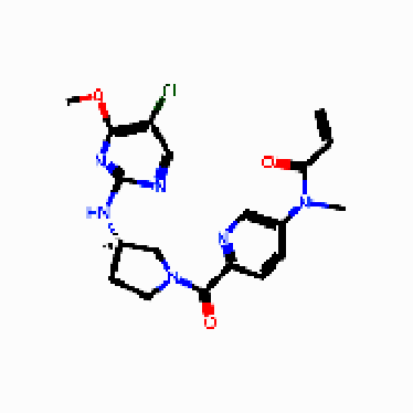 C=CC(=O)N(C)c1ccc(C(=O)N2CC[C@H](Nc3ncc(Cl)c(OC)n3)C2)nc1